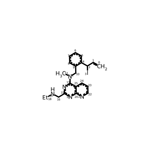 C=CC(I)c1ccccc1CN(C)c1nc(CNCC)nc2ncccc12